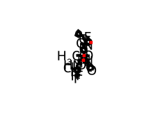 CCc1c(N2CCN(C(=O)c3nccc(F)c3OCc3ccccc3)CC2)c(=O)n2nc(C3=CCOCC3)nc2n1CC(=O)Nc1ccc(C(F)(F)F)nc1Cl